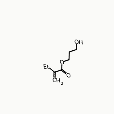 C=C(CC)C(=O)OCCCO